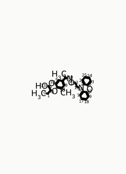 CCC(Oc1ccc(C(C)=NOCCN2c3ccccc3Oc3ccccc32)cc1C)C(=O)O